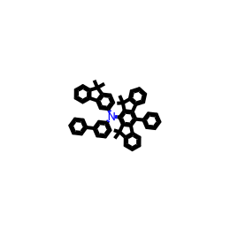 CC1(C)c2ccccc2-c2cc(N(c3cccc(-c4ccccc4)c3)c3c4c(c(-c5ccccc5)c5c3C(C)(C)c3ccccc3-5)-c3ccccc3C4(C)C)ccc21